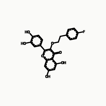 O=c1c(OCCc2ccc(F)cc2)c(-c2ccc(O)c(O)c2)oc2cc(O)cc(O)c12